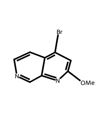 COc1cc(Br)c2ccncc2n1